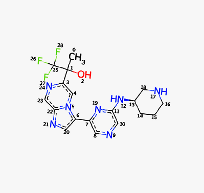 CC(O)(c1cn2c(-c3cncc(N[C@@H]4CCCNC4)n3)cnc2cn1)C(F)(F)F